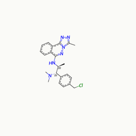 Cc1nnc2c3ccccc3c(N[C@@H](C)[C@H](c3ccc(CCl)cc3)N(C)C)nn12